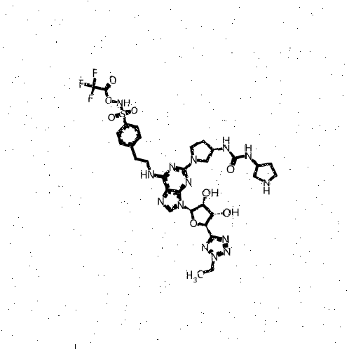 CCn1nnc([C@H]2O[C@@H](n3cnc4c(NCCc5ccc(S(=O)(=O)NOC(=O)C(F)(F)F)cc5)nc(N5CC[C@@H](NC(=O)NC6CCNC6)C5)nc43)[C@@H](O)[C@@H]2O)n1